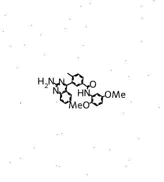 COc1ccc(OC)c(NC(=O)c2ccc(C)c(-c3nc(N)nc4ccccc34)c2)c1